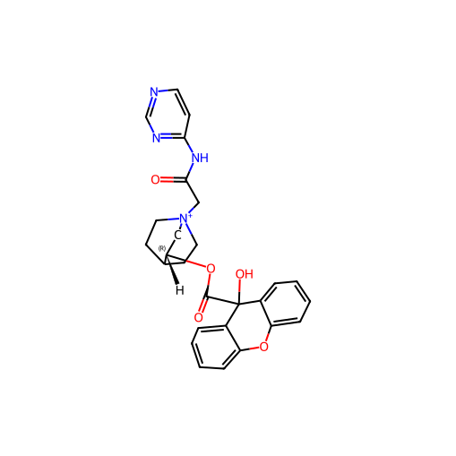 O=C(C[N+]12CCC(CC1)[C@@H](OC(=O)C1(O)c3ccccc3Oc3ccccc31)C2)Nc1ccncn1